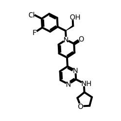 O=c1cc(-c2ccnc(NC3CCOC3)n2)ccn1[C@H](CO)c1ccc(Cl)c(F)c1